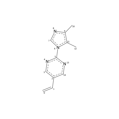 C=Cc1cnc(-n2cnc(C)c2C)nc1